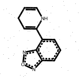 C1=CNC(c2cccc3nonc23)=CC1